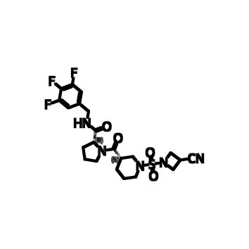 N#CC1CN(S(=O)(=O)N2CCC[C@H](C(=O)N3CCC[C@@H]3C(=O)NCc3cc(F)c(F)c(F)c3)C2)C1